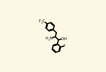 NC(Cc1ccc(C(F)(F)F)cc1)C(O)c1ccccc1F